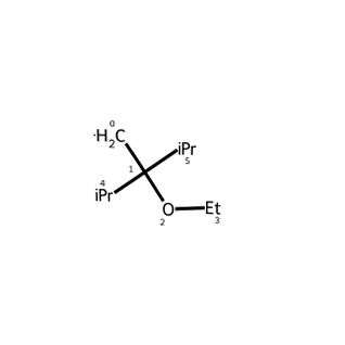 [CH2]C(OCC)(C(C)C)C(C)C